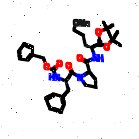 COCCC[C@@H](NC(=O)C1CCCN1C(=O)[C@@H](Cc1ccccc1)NC(=O)OCc1ccccc1)B1OC(C)(C)C(C)(C)O1